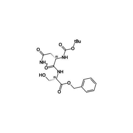 CC(C)(C)OC(=O)N[C@@H](CC(N)=O)C(=O)N[C@@H](CO)C(=O)OCc1ccccc1